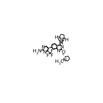 CN1CCC[C@H]1COc1nc(N2C[C@H]3CC[C@@H](C2)N3)c2ccc(-c3cnc(N)nc3C(F)(F)F)cc2n1